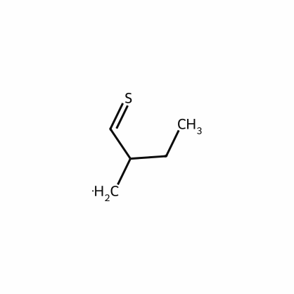 [CH2]C(C=S)CC